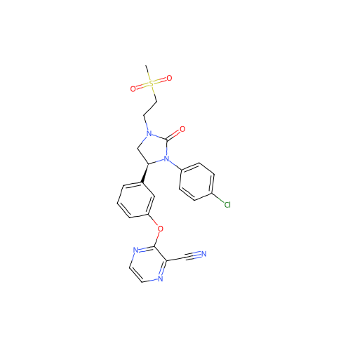 CS(=O)(=O)CCN1C[C@H](c2cccc(Oc3nccnc3C#N)c2)N(c2ccc(Cl)cc2)C1=O